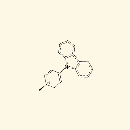 C[C@H]1C=CC(n2c3ccccc3c3ccccc32)=CC1